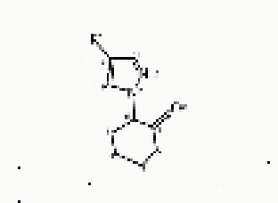 O=C1CCCCC1n1cc(I)cn1